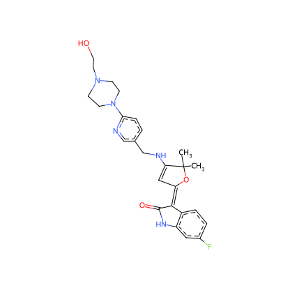 CC1(C)O/C(=C2/C(=O)Nc3cc(F)ccc32)C=C1NCc1ccc(N2CCN(CCO)CC2)nc1